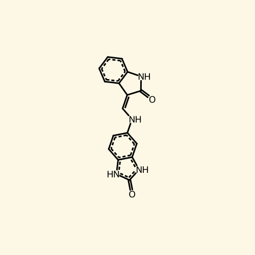 O=C1Nc2ccccc2C1=CNc1ccc2[nH]c(=O)[nH]c2c1